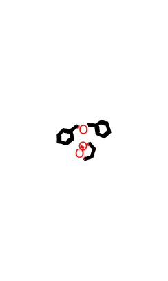 C1CCOOC1.c1ccc(COCc2ccccc2)cc1